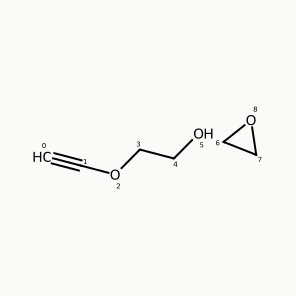 C#COCCO.C1CO1